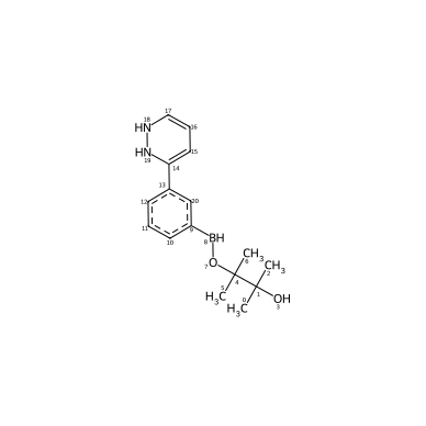 CC(C)(O)C(C)(C)OBc1cccc(C2=CC=CNN2)c1